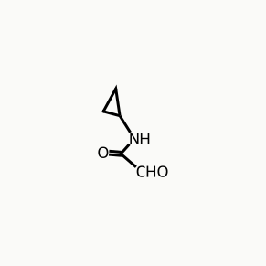 O=CC(=O)NC1CC1